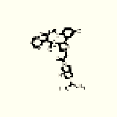 CC(C)N1CC2CN(C(=O)Cn3cc(NC(=O)c4cnn5cccnc45)c(-c4cc(Cl)ccc4OC(F)F)n3)C[C@@H]2C1